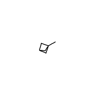 CC12CC(C1)C2